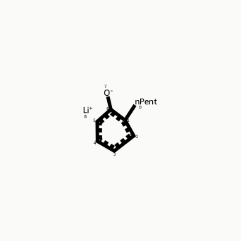 CCCCCc1ccccc1[O-].[Li+]